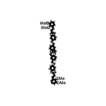 COc1cccc(/C=C/c2nc3ccc(/N=C/c4ccc5c(c4)CN4CN5Cc5cc(/C=N/c6ccc7nc(/C=C/c8cccc(OC)c8OC)sc7c6)ccc54)cc3s2)c1OC